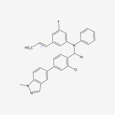 [2H]C(c1ccc(-c2ccc3c(cnn3C)c2)cc1Cl)N(c1ccccc1)c1cc(F)cc(/C=C/C(=O)O)c1